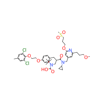 COCCCc1cc(CN(C(=O)C(Cc2ccc(OCCOc3c(Cl)cc(C)cc3Cl)cc2)CN(C(=O)O)C(C)(C)C)C2CC2)cc(OCCCS(C)(=O)=O)n1